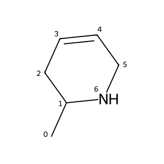 CC1CC=CCN1